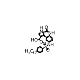 COc1ccc(S(=O)(=O)Nc2ccc3[nH]c(=O)c4[nH]cc(C(=O)O)c4c3c2)cc1